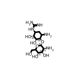 N=C(N)NC1CC(N)[C@@H](O[C@H]2OC(CO)[C@@H](O)[C@@H](O)[C@@H]2N)[C@H](O)[C@@H]1O